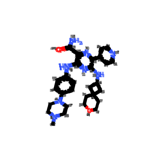 CN1CCN(c2ccc(Nc3nc(NC4CC5(CCOCC5)C4)c(-c4ccncc4)nc3C(N)=O)cc2)CC1